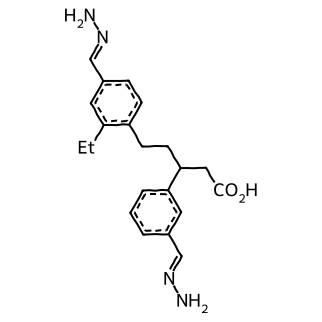 CCc1cc(C=NN)ccc1CCC(CC(=O)O)c1cccc(C=NN)c1